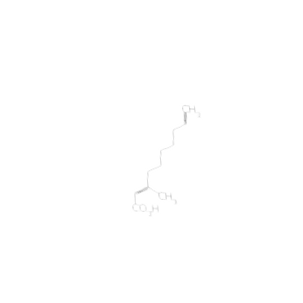 C=CCCCCC/C(C)=C/C(=O)O